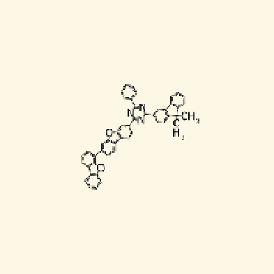 CC1(C)c2ccccc2-c2cc(-c3nc(-c4ccccc4)nc(-c4ccc5c(c4)oc4cc(-c6cccc7c6oc6ccccc67)ccc45)n3)ccc21